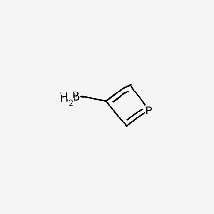 BC1=CP=C1